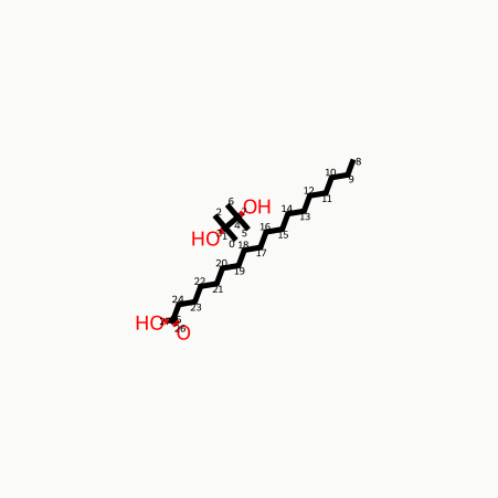 CC(C)(O)C(C)(C)O.CCCCCCCCCCCCCCCCCC(=O)O